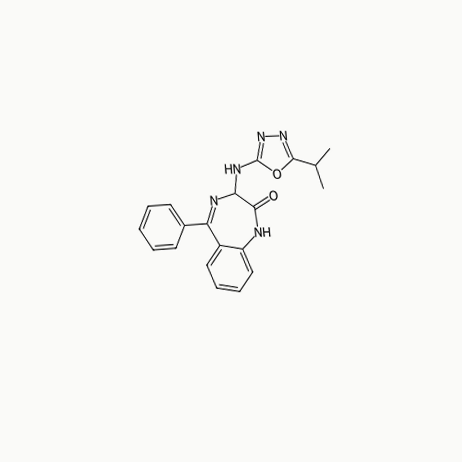 CC(C)c1nnc(NC2N=C(c3ccccc3)c3ccccc3NC2=O)o1